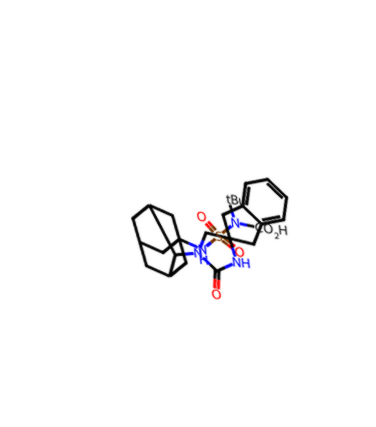 CC(C)(C)N(C(=O)O)S(=O)(=O)NC12CC3CC(C1)C(N1CC4(Cc5ccccc5C4)NC1=O)C(C3)C2